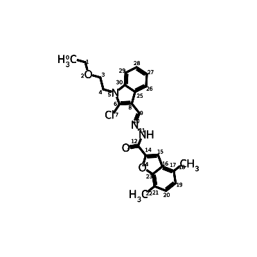 CCOCCn1c(Cl)c(/C=N/NC(=O)c2cc3c(C)ccc(C)c3o2)c2ccccc21